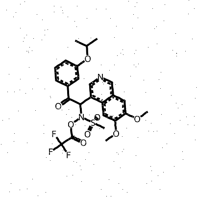 COc1cc2cncc(C(C(=O)c3cccc(OC(C)C)c3)N(OC(=O)C(F)(F)F)S(C)(=O)=O)c2cc1OC